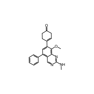 CNc1ncc2c(-c3ccccc3)cc(C3=CCC(=O)CC3)c(OC)c2n1